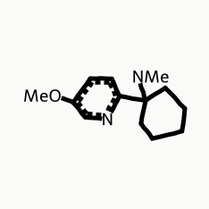 CNC1(c2ccc(OC)cn2)CCCCC1